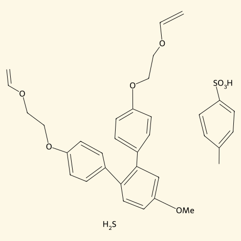 C=COCCOc1ccc(-c2ccc(OC)cc2-c2ccc(OCCOC=C)cc2)cc1.Cc1ccc(S(=O)(=O)O)cc1.S